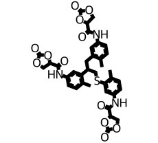 Cc1ccc(NC(=O)C2COC(=O)O2)cc1CC(CSc1cc(NC(=O)C2COC(=O)O2)ccc1C)c1cc(NC(=O)C2COC(=O)O2)ccc1C